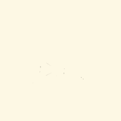 CCCCCCC(C)(C)c1cc(OC(=O)CCN2CCOCC2)c2c(c1)OC(F)(F)C1CCC(C)CC21